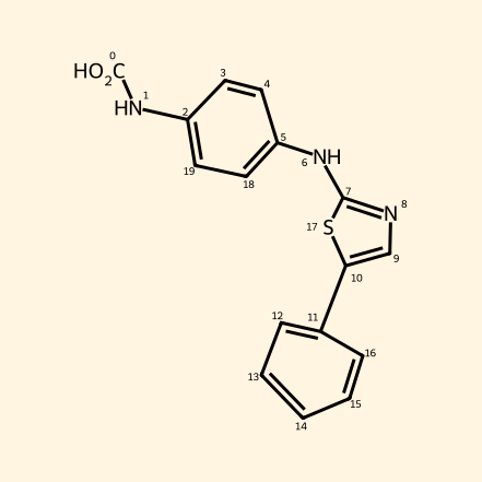 O=C(O)Nc1ccc(Nc2ncc(-c3ccccc3)s2)cc1